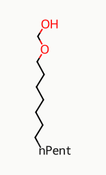 CCCCCCCCCCCCOCO